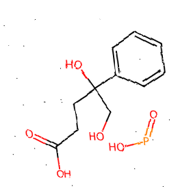 O=C(O)CCC(O)(CO)c1ccccc1.O=PO